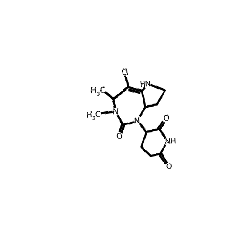 CC1C(Cl)=C2NCCC2N(C2CCC(=O)NC2=O)C(=O)N1C